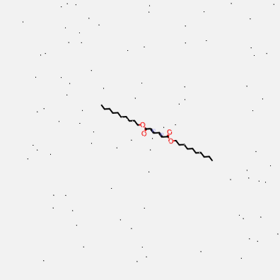 CCCCCCCCCCOC(=O)/C=C/C=C/C(=O)OCCCCCCCCCC